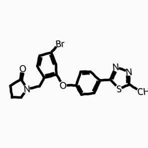 Cc1nnc(-c2ccc(Oc3cc(Br)ccc3CN3CCCC3=O)cc2)s1